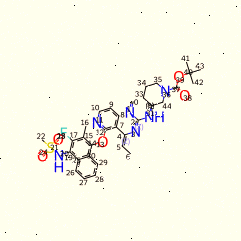 C=N/C(=N\C(=C/C)c1cccnc1Oc1c(C)c(F)c(NS(C)(=O)=O)c2ccccc12)N[C@H]1CCCN(C(=O)OC(C)(C)C)C1